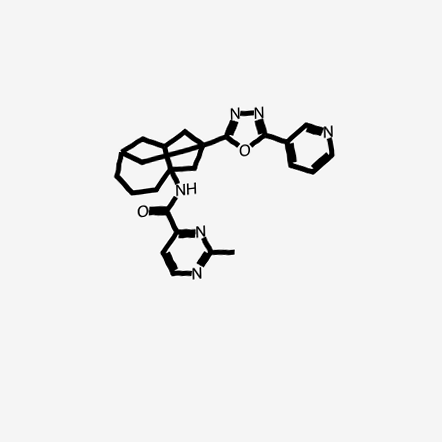 Cc1nccc(C(=O)NC23CCCC4CC2CC(c2nnc(-c5cccnc5)o2)(C4)C3)n1